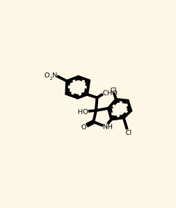 O=CC(c1ccc([N+](=O)[O-])cc1)C1(O)C(=O)Nc2c(Cl)ccc(Cl)c21